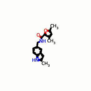 Cc1cc2cc(CNC(=O)c3oc(C)cc3C)ccc2[nH]1